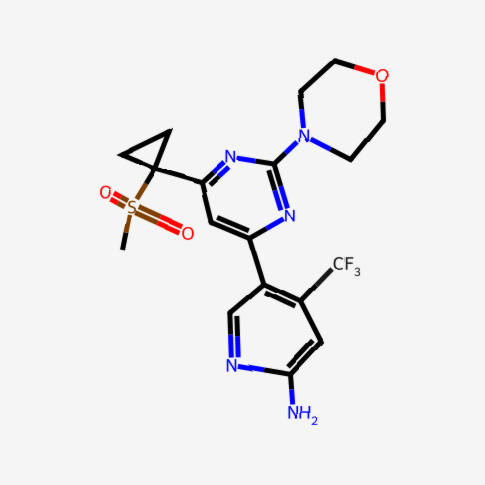 CS(=O)(=O)C1(c2cc(-c3cnc(N)cc3C(F)(F)F)nc(N3CCOCC3)n2)CC1